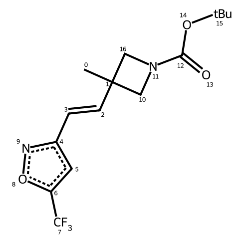 CC1(C=Cc2cc(C(F)(F)F)on2)CN(C(=O)OC(C)(C)C)C1